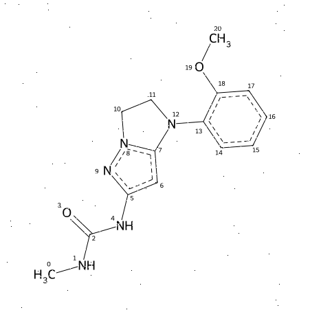 CNC(=O)Nc1cc2n(n1)CCN2c1ccccc1OC